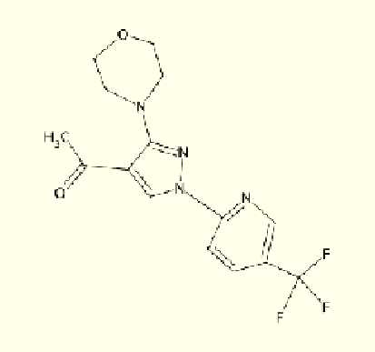 CC(=O)c1cn(-c2ccc(C(F)(F)F)cn2)nc1N1CCOCC1